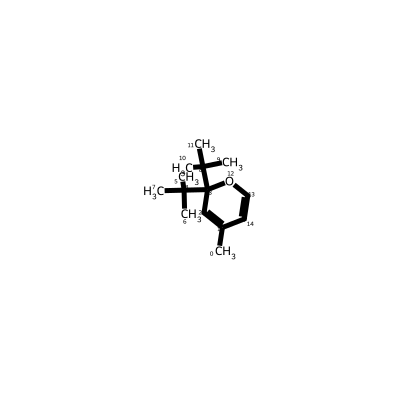 CC1=CC(C(C)(C)C)(C(C)(C)C)OC=C1